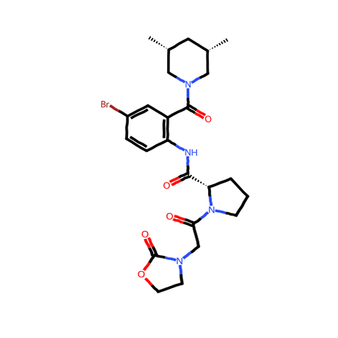 C[C@@H]1C[C@H](C)CN(C(=O)c2cc(Br)ccc2NC(=O)[C@@H]2CCCN2C(=O)CN2CCOC2=O)C1